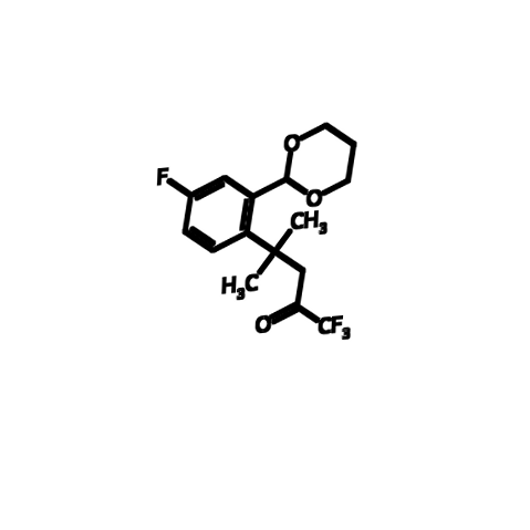 CC(C)(CC(=O)C(F)(F)F)c1ccc(F)cc1C1OCCCO1